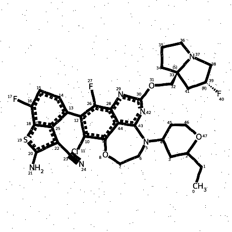 CCC1CC(N2CCOc3c(Cl)c(-c4ccc(F)c5sc(N)c(C#N)c45)c(F)c4nc(OC[C@@]56CCCN5C[C@H](F)C6)nc2c34)CCO1